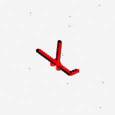 CCCCCC/C=C\CCCCCCCCCC(=O)OC[C@H](COC(=O)CCCCCCCCCCCCCCCCC)OC(=O)CCCCCCCCCCCCCCCCC